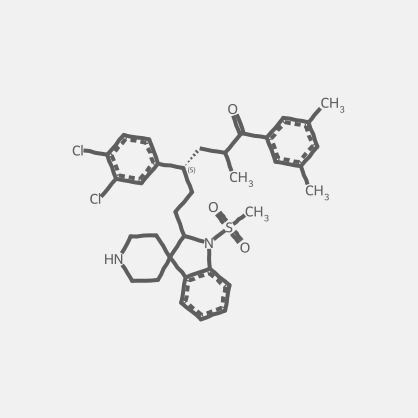 Cc1cc(C)cc(C(=O)C(C)C[C@H](CCC2N(S(C)(=O)=O)c3ccccc3C23CCNCC3)c2ccc(Cl)c(Cl)c2)c1